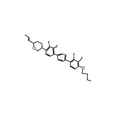 C/C=C/C1CCC(c2ccc(-c3ccc(-c4ccc(OCCCC)c(F)c4F)cc3)c(F)c2F)CO1